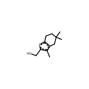 Cc1c(CO)sc2c1CC(C)(C)CC2